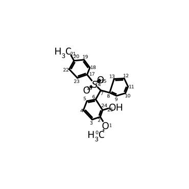 COc1cccc(C(c2ccccc2)S(=O)(=O)c2ccc(C)cc2)c1O